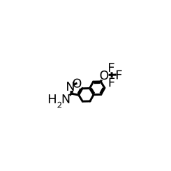 Nc1noc2c1CCc1ccc(OC(F)(F)F)cc1-2